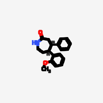 COc1ccccc1[C@H]1CCNC(=O)C[C@H]1c1ccccc1